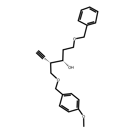 C#C[C@@H](COCc1ccc(OC)cc1)[C@@H](O)CCOCc1ccccc1